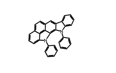 c1ccc(-n2c3ccccc3c3cc4ccc5cccc6c5c4c(c32)n6-c2ccccc2)cc1